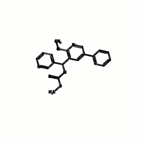 COc1ncc(-c2ccccc2)cc1C(OC(=S)SC)c1cccnc1